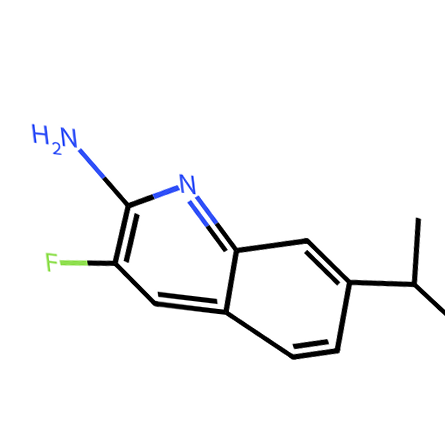 CC(C)c1ccc2cc(F)c(N)nc2c1